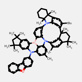 Cc1cc2c3c(c1)N1c4cc5c(cc4C)C(C)(C)CCC5(C)c4cc5c(cc4C(C)(C)C)C4(C)CCCCC4(C)N5c4ccc(c1c4)B3c1cc3c(cc1N2c1ccc2oc4ccccc4c2c1)C(C)(C)CC3(C)C